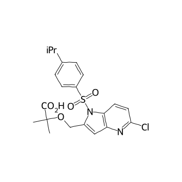 CC(C)c1ccc(S(=O)(=O)n2c(COC(C)(C)C(=O)O)cc3nc(Cl)ccc32)cc1